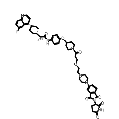 C[C@@H](C(=O)Nc1ccc(OC2CCN(C(=O)CCOCCN3CCN(c4ccc5c(c4)C(=O)N(C4CCC(=O)NC4=O)C5=O)CC3)CC2)cc1)[C@H]1CC[C@@H](c2ccnc3ccc(F)cc32)CC1